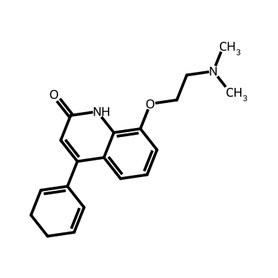 CN(C)CCOc1cccc2c(C3=CCCC=C3)cc(=O)[nH]c12